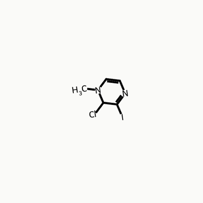 CN1C=CN=C(I)C1Cl